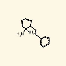 NC1(N)C=CC=CC1C=Cc1ccccc1